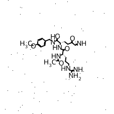 COc1ccc(CNC(=O)[C@H](CCC(=O)C=N)NC(=O)[C@H](CCCNC(=N)N)NC(C)=O)cc1